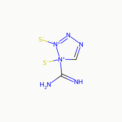 N=C(N)[N+]1([S-])C=NN=[N+]1[S-]